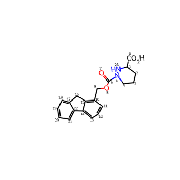 O=C(O)C1CCCN(C(=O)OCc2cccc3c2Cc2ccccc2-3)N1